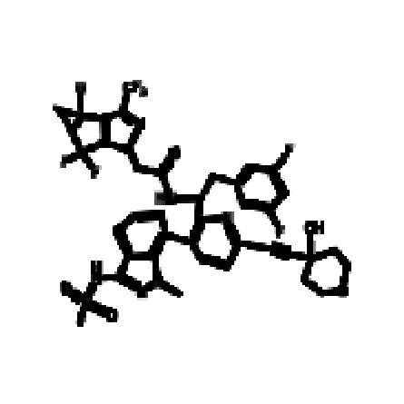 Cn1nc(NS(C)(=O)=O)c2cccc(-c3ccc(C#CC4(O)CCOCC4)nc3[C@H](Cc3cc(F)cc(F)c3)NC(=O)Cn3nc(C(F)(F)F)c4c3C(F)(F)C3C[C@H]43)c21